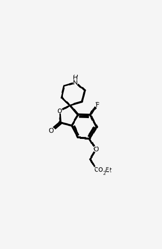 CCOC(=O)COc1cc(F)c2c(c1)C(=O)OC21CCNCC1